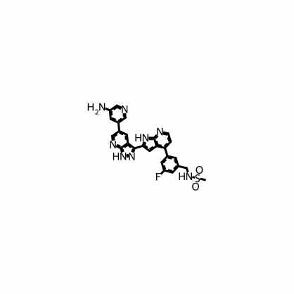 CS(=O)(=O)NCc1cc(F)cc(-c2ccnc3[nH]c(-c4n[nH]c5ncc(-c6cncc(N)c6)cc45)cc23)c1